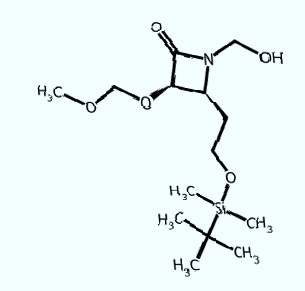 COCO[C@H]1C(=O)N(CO)[C@H]1CCO[Si](C)(C)C(C)(C)C